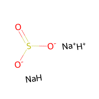 O=S([O-])[O-].[H+].[Na+].[NaH]